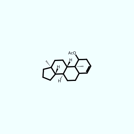 CC(=O)OC1CC=CC2CC[C@H]3[C@@H]4CCC[C@@]4(C)CC[C@@H]3[C@]21C